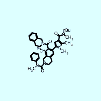 CCCCN(C)C(=O)c1cc(-c2cc3c(cc2C(=O)N2Cc4ccccc4C[C@H]2C)CN(C(=O)N(C)c2ccccc2)CC3)n(C)c1C